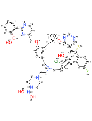 O=C(O)[C@H]1Cc2cc(ccc2OCc2ccnc(-c3ccccc3OO)n2)CN(CCN2CCN(N(O)O)CC2)Cc2ccc(c(O)c2Cl)-c2c(-c3ccc(F)cc3)sc3ncnc(c23)O1